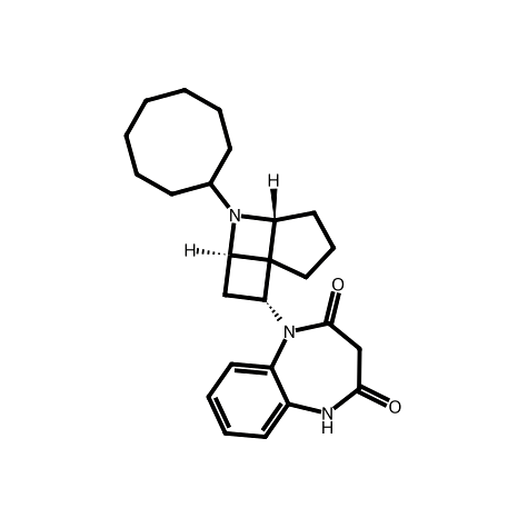 O=C1CC(=O)N([C@@H]2C[C@H]3N(C4CCCCCCC4)[C@@H]4CCCC243)c2ccccc2N1